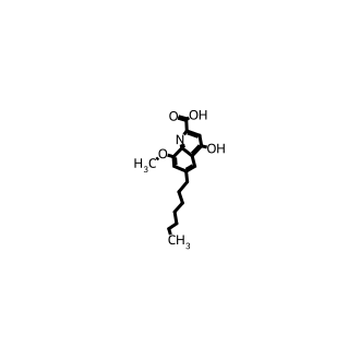 CCCCCCCc1cc(OC)c2nc(C(=O)O)cc(O)c2c1